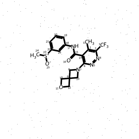 Cc1c(C(F)(F)F)nnc(N2CC3(COC3)C2)c1C(=O)Nc1cccc([S+](C)[O-])c1